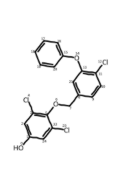 Oc1cc(Cl)c(OCc2ccc(Cl)c(Oc3ccccc3)c2)c(Cl)c1